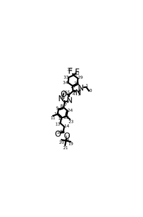 CCn1nc(-c2nc(-c3cc(C)c(CCC(=O)OC(C)(C)C)c(C)c3)no2)c2c1CC(F)(F)CC2